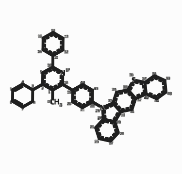 Cc1c(C2C=CC=CC2)cc(-c2ccccc2)nc1-c1ccc(-n2c3ccccc3c3cc4c(cc32)sc2ccccc24)cc1